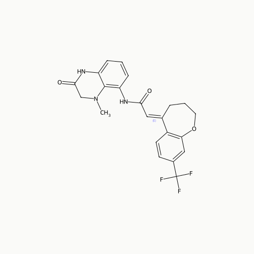 CN1CC(=O)Nc2cccc(NC(=O)/C=C3\CCCOc4cc(C(F)(F)F)ccc43)c21